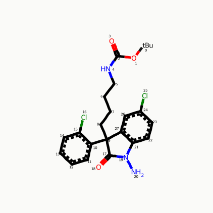 CC(C)(C)OC(=O)NCCCCC1(c2ccccc2Cl)C(=O)N(N)c2ccc(Cl)cc21